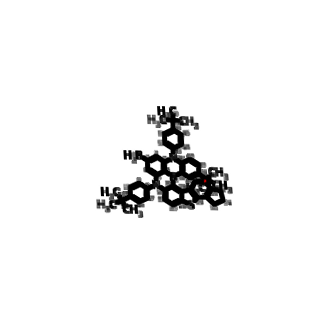 Bc1cc2c3c(c1)N(c1ccc(C(C)(C)C)cc1)c1ccc4sc5c6c(ccc5c4c1B3c1cc(C(C)(C)C)ccc1N2c1ccc(C(C)(C)C)cc1)CCC6